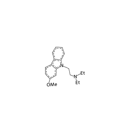 CCN(CC)CCn1c2ccccc2c2ccc(OC)cc21